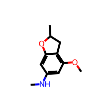 CNc1cc(OC)c2c(c1)OC(C)C2